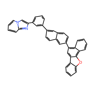 c1cc(-c2ccc3cc(-c4cc5c6ccccc6oc5c5ccccc45)ccc3c2)cc(-c2cn3ccccc3n2)c1